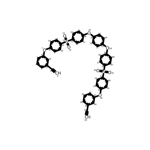 C#Cc1cccc(Oc2ccc(S(=O)(=O)c3ccc(Oc4ccc(Oc5ccc(S(=O)(=O)c6ccc(Oc7cccc(C#C)c7)cc6)cc5)cc4)cc3)cc2)c1